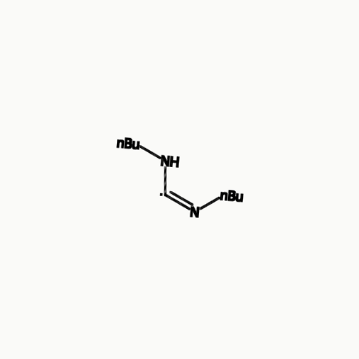 CCCC/N=[C]\NCCCC